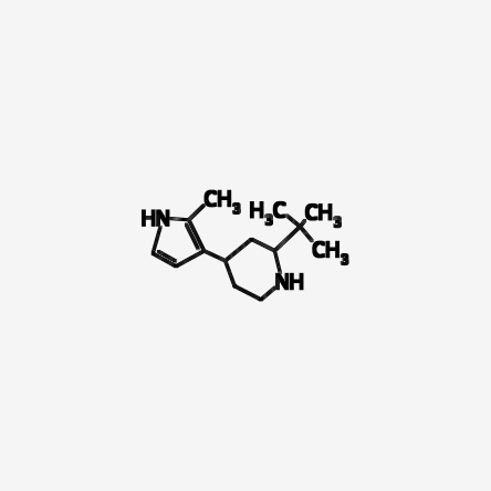 Cc1[nH]ccc1C1CCNC(C(C)(C)C)C1